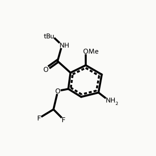 COc1cc(N)cc(OC(F)F)c1C(=O)NC(C)(C)C